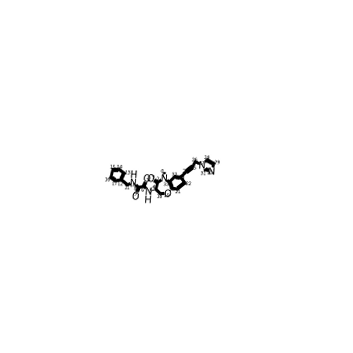 CN1C(=O)[C@@H](NC(=O)C(=O)NCc2ccccc2)COc2ccc(C#CCn3ccnc3)cc21